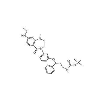 CCNc1cc2c(cn1)C(=O)N(c1cccc(OC(CCN(C)C(=O)OC(C)(C)C)c3ccccc3)c1)CCN2C